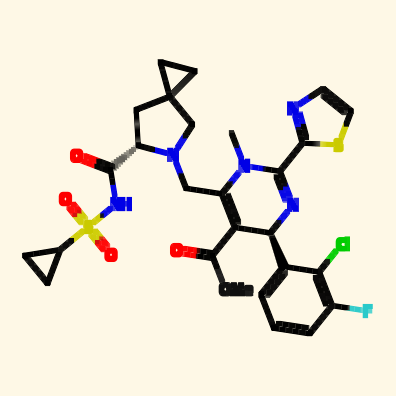 COC(=O)C1=C(CN2CC3(CC3)C[C@H]2C(=O)NS(=O)(=O)C2CC2)N(C)C(c2nccs2)=N[C@H]1c1cccc(F)c1Cl